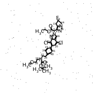 CCOC(=O)[C@@H](c1ncn2c1C[C@@H](F)C2)n1cc2c(Cl)cc(-c3ccc(CCN(CCOC)C(=O)OC(C)(C)C)cc3)c(Cl)c2n1